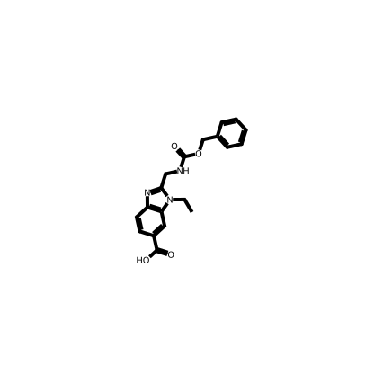 CCn1c(CNC(=O)OCc2ccccc2)nc2ccc(C(=O)O)cc21